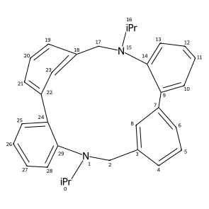 CC(C)N1Cc2cccc(c2)-c2ccccc2N(C(C)C)Cc2cccc(c2)-c2ccccc21